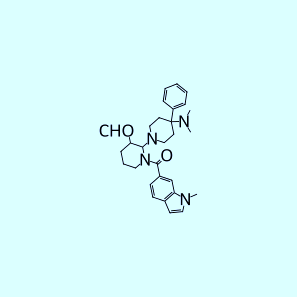 CN(C)C1(c2ccccc2)CCN(C2C(C=O)CCCN2C(=O)c2ccc3ccn(C)c3c2)CC1